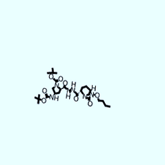 CCCCON1C(=O)N2C[C@@H]1CC[C@H]2C(=O)NNC(=O)[C@H]1C[C@@H](NC(=O)OC(C)(C)C)CN1C(=O)OC(C)(C)C